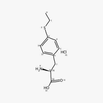 CCSc1ccc(C[C@H](N)C(=O)O)cc1.Cl